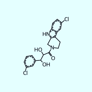 O=C(C(O)C(O)c1cccc(Cl)c1)N1CCc2c([nH]c3ccc(Cl)cc23)C1